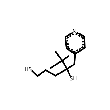 CC(C)(C)C(S)(CCCS)Cc1ccncc1